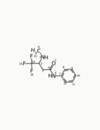 CNC(CC(=O)Nc1ccccc1)C(F)(F)F